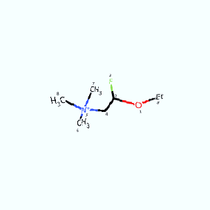 CCOC(F)C[N+](C)(C)C